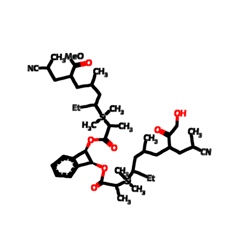 CCC(CC(C)CC(CC(C)C#N)C(=O)OC)[Si](C)(C)C(C)C(=O)O[C@@H]1c2ccccc2[C@@H]1OC(=O)C(C)[Si](C)(C)C(CC)CC(C)CC(CC(C)C#N)C(=O)CO